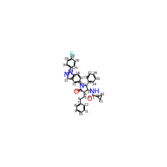 O=C(N[C@H]1C(CCc2ccccc2)C(=O)N(c2ccc3c(cnn3-c3ccc(F)cc3)c2)[C@@H]1c1ccccc1)C1CC1